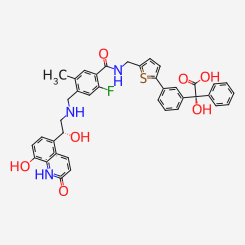 Cc1cc(C(=O)NCc2ccc(-c3cccc([C@](O)(C(=O)O)c4ccccc4)c3)s2)c(F)cc1CNC[C@H](O)c1ccc(O)c2[nH]c(=O)ccc12